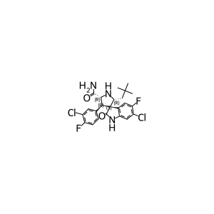 CC(C)(C)C[C@H]1N[C@@H](C(N)=O)[C@H](c2ccc(F)c(Cl)c2)[C@@]12C(=O)Nc1cc(Cl)c(F)cc12